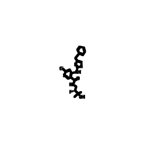 CC(C)(O)[C@H](F)CNC(=O)c1cnc(Cl)cc1Nc1nc(Cc2ccccc2)cs1